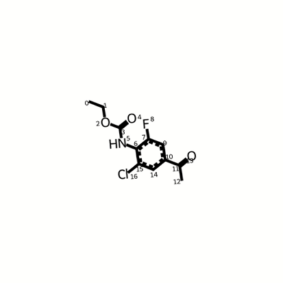 CCOC(=O)Nc1c(F)cc(C(C)=O)cc1Cl